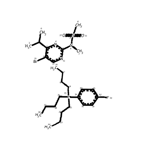 CC(C)c1nc(N(C)S(C)(=O)=O)ncc1Br.CCCC[P](CCCC)(CCCC)c1ccc(F)cc1